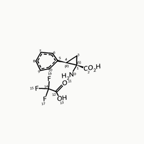 N[C@@]1(C(=O)O)C[C@@H]1c1ccccc1.O=C(O)C(F)(F)F